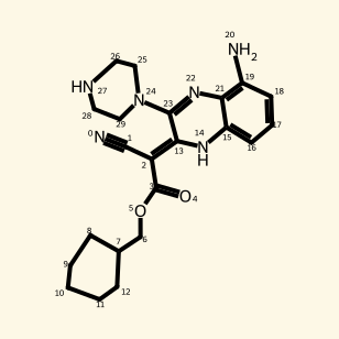 N#CC(C(=O)OCC1CCCCC1)=C1Nc2cccc(N)c2N=C1N1CCNCC1